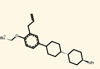 C=CCc1cc(C2CCC([C@H]3CC[C@H](CCC)CC3)CC2)ccc1OC[C@@H](C)CC